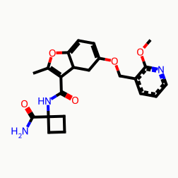 COc1ncccc1COC1=CC=C2OC(C)=C(C(=O)NC3(C(N)=O)CCC3)C2C1